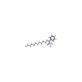 CCCCCCCCCCCCC(c1ccccc1)[N+](C)(C)C